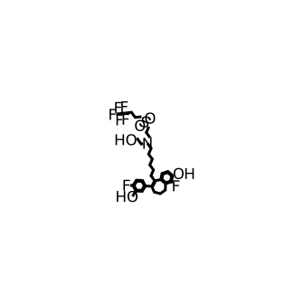 O=S(=O)(CCCN(CCO)CCCCCCC1=C(c2ccc(F)c(O)c2)CCCc2c1ccc(O)c2F)CCCC(F)(F)C(F)(F)F